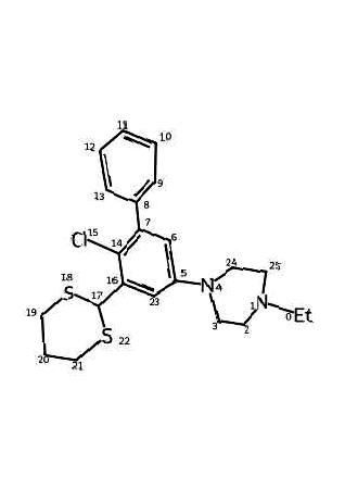 CCN1CCN(c2cc(-c3ccccc3)c(Cl)c(C3SCCCS3)c2)CC1